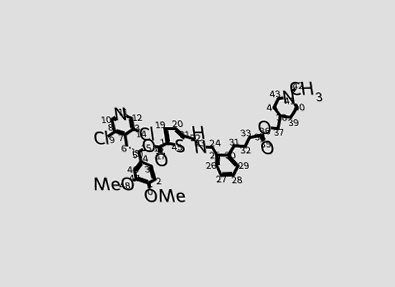 COc1ccc([C@H](Cc2c(Cl)cncc2Cl)OC(=O)c2ccc(CNCc3ccccc3CCCC(=O)OCC3CCN(C)CC3)s2)cc1OC